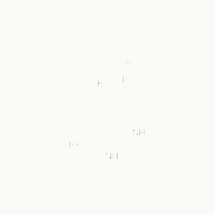 Nc1c(O)ccc(OP(=O)(O)O)c1N